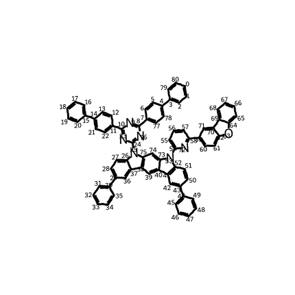 c1ccc(-c2ccc(-c3nc(-c4ccc(-c5ccccc5)cc4)nc(-n4c5ccc(-c6ccccc6)cc5c5cc6c7cc(-c8ccccc8)ccc7n(-c7cccc(-c8ccc9oc%10ccccc%10c9c8)n7)c6cc54)n3)cc2)cc1